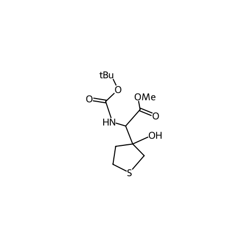 COC(=O)C(NC(=O)OC(C)(C)C)C1(O)CCSC1